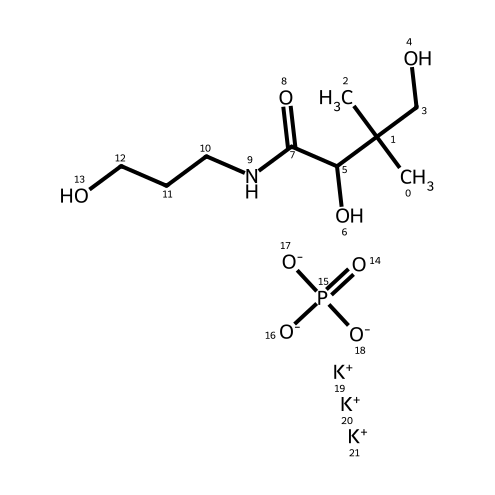 CC(C)(CO)C(O)C(=O)NCCCO.O=P([O-])([O-])[O-].[K+].[K+].[K+]